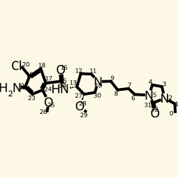 CCN1CCN(CCCCN2CC[C@@H](NC(=O)c3cc(Cl)c(N)cc3OC)[C@@H](OC)C2)C1=O